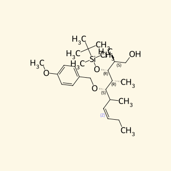 CC/C=C\C(C)[C@H](OCc1ccc(OC)cc1)[C@@H](C)[C@H](O[Si](C)(C)C(C)(C)C)[C@@H](C)CO